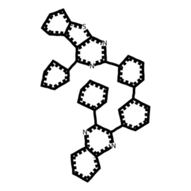 c1ccc(-c2nc3ccccc3nc2-c2cccc(-c3cccc(-c4nc(-c5ccccc5)c5c(n4)sc4ccccc45)c3)c2)cc1